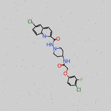 O=C(COc1ccc(Cl)c(F)c1)NC1CCN(NC(=O)c2ccc3cc(Cl)ccc3n2)CC1